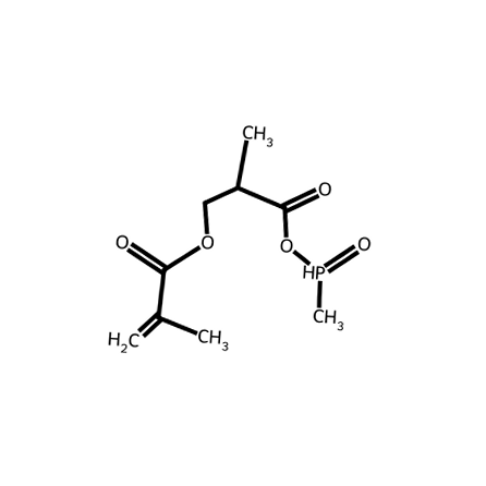 C=C(C)C(=O)OCC(C)C(=O)O[PH](C)=O